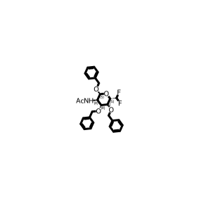 CC(=O)N[C@H]1[C@@H](OCc2ccccc2)O[C@H](C(F)F)[C@@H](OCc2ccccc2)[C@@H]1OCc1ccccc1